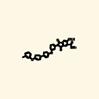 CNC(=O)c1cc2c(cc1C(=O)O)C(=O)N(c1cccc(Oc3ccc(-c4ccc(Oc5cccc(C)c5)cc4)cc3)c1)C2=O